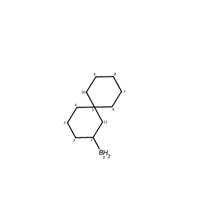 BC1CCCC2(CCCCC2)C1